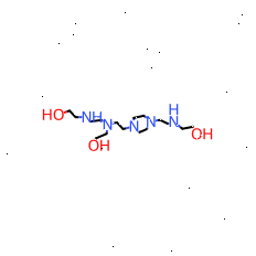 OCCNCCN(CCO)CCN1CCN(CCNCCO)CC1